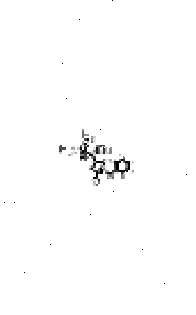 C[SiH](C)OC(C1CC(=O)N(Cc2ccccc2)C1)C(C)(C)C